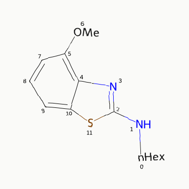 CCCCCCNc1nc2c(OC)cccc2s1